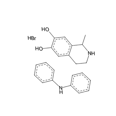 Br.CC1NCCc2cc(O)c(O)cc21.c1ccc(Nc2ccccc2)cc1